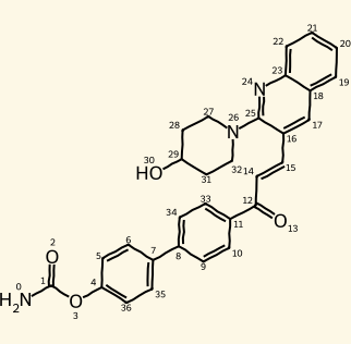 NC(=O)Oc1ccc(-c2ccc(C(=O)C=Cc3cc4ccccc4nc3N3CCC(O)CC3)cc2)cc1